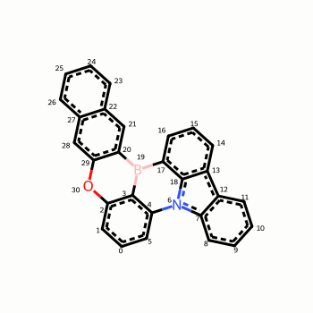 c1cc2c3c(c1)-n1c4ccccc4c4cccc(c41)B3c1cc3ccccc3cc1O2